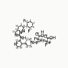 Fc1cccc(F)c1-c1ccc2cnc(Nc3cnccc3C3=CCNCC3)n2n1.O=C(O)C(F)(F)F.O=C(O)C(F)(F)F